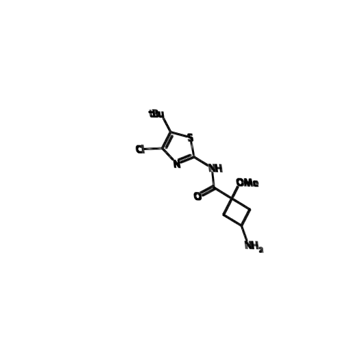 COC1(C(=O)Nc2nc(Cl)c(C(C)(C)C)s2)CC(N)C1